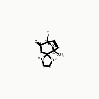 C[C@]12C=C[C@H](O1)C(=O)CC21OCCO1